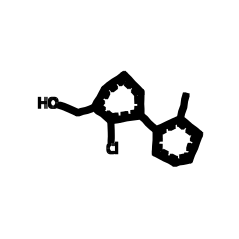 Cc1ccccc1-c1cccc(CO)c1Cl